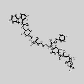 CN(CCN1CCC(OC(=O)Nc2ccccc2-c2ccccc2)CC1)C(=O)CCCCCN(C(=O)OCc1ccccc1)c1ccc(N(C)C(=O)CCN(C)C(=O)OC(C)(C)C)cc1